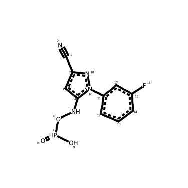 N#Cc1cc(NO[PH](=O)O)n(-c2cccc(F)c2)n1